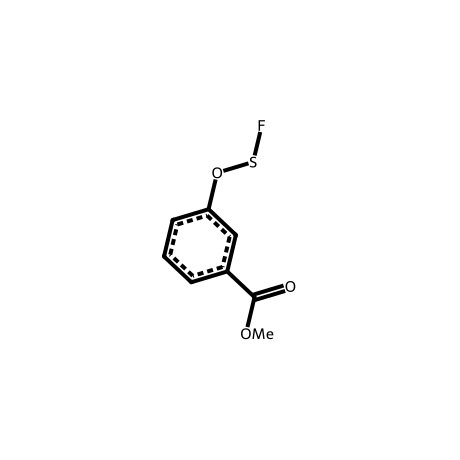 COC(=O)c1cccc(OSF)c1